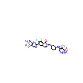 Nc1nc(-c2cc3ccn(CC4CCC[C@H](Nc5cn[nH]c(=O)c5C(F)(F)F)C4)c(=O)c3c(F)c2F)ncc1C(F)(F)F